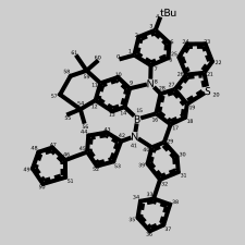 Cc1cc(C(C)(C)C)ccc1N1c2cc3c(cc2B2c4c(cc5sc6ccccc6c5c41)-c1ccc(-c4ccccc4)cc1N2c1ccc(-c2ccccc2)cc1)C(C)(C)CCC3(C)C